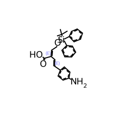 CC(C)(C)[Si](OC/C=C(\C=C\c1ccc(N)cc1)C(=O)O)(c1ccccc1)c1ccccc1